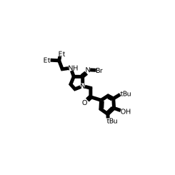 CCC(CC)CNC1CCN(CC(=O)c2cc(C(C)(C)C)c(O)c(C(C)(C)C)c2)/C1=N\Br